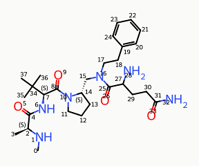 CN[C@@H](C)C(=O)N[C@H](C(=O)N1CCC[C@H]1CN(CCc1ccccc1)C(=O)C(N)CCC(N)=O)C(C)(C)C